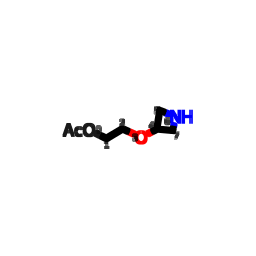 CC(=O)OCCOC1CNC1